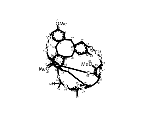 COc1cc2c3cc1OCOc1cc4c(cc1C)Cc1cc5c(C)cc1Cc1cc(c(OC)cc1C4)OCOc1cc(c(cc1C)Cc1cc(c(OC)cc1C3)O[C@@H](C)O5)C2